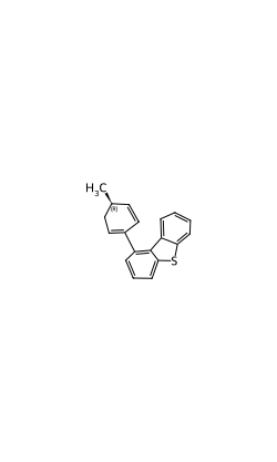 C[C@H]1C=CC(c2cccc3sc4ccccc4c23)=CC1